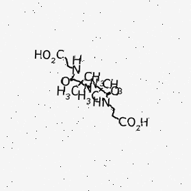 CC(C)(N=NC(C)(C)C(=O)NCCC(=O)O)C(=O)NCCC(=O)O